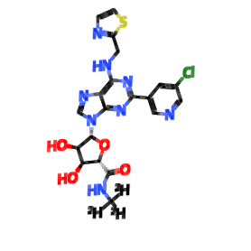 [2H]C([2H])([2H])NC(=O)[C@H]1O[C@@H](n2cnc3c(NCc4nccs4)nc(-c4cncc(Cl)c4)nc32)[C@H](O)[C@@H]1O